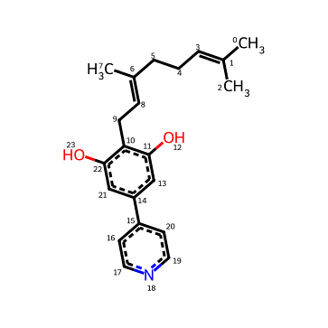 CC(C)=CCC/C(C)=C/Cc1c(O)cc(-c2ccncc2)cc1O